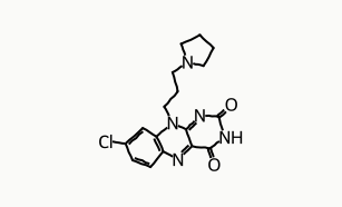 O=c1nc2n(CCCN3CCCC3)c3cc(Cl)ccc3nc-2c(=O)[nH]1